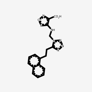 O=C(O)c1nonc1NCn1nnnc1CCc1cccc2ccccc12